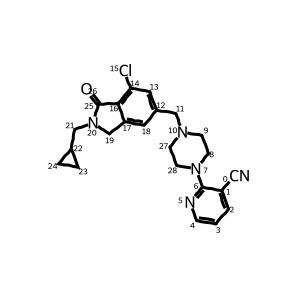 N#Cc1cccnc1N1CCN(Cc2cc(Cl)c3c(c2)CN(CC2CC2)C3=O)CC1